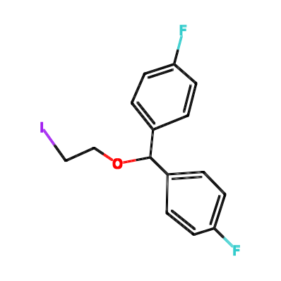 Fc1ccc(C(OCCI)c2ccc(F)cc2)cc1